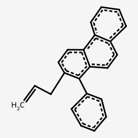 C=CCc1ccc2c(ccc3ccccc32)c1-c1ccccc1